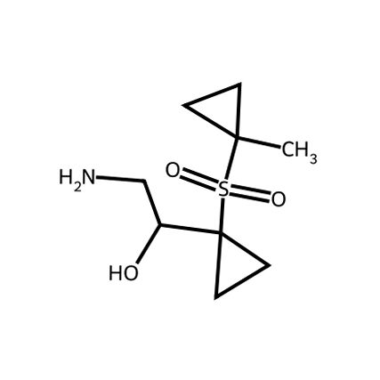 CC1(S(=O)(=O)C2(C(O)CN)CC2)CC1